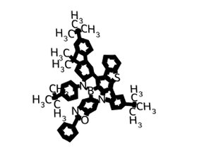 CC(C)(C)c1ccc(N2B3c4cc5nc(-c6ccccc6)oc5cc4-n4c5ccc(C(C)(C)C)cc5c5c6sc7ccccc7c6c(c3c54)-c3cc4c(cc32)C(C)(C)c2cc(C(C)(C)C)ccc2-4)cc1